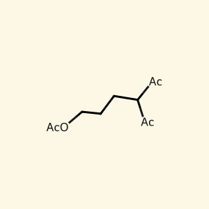 CC(=O)OCCCC(C(C)=O)C(C)=O